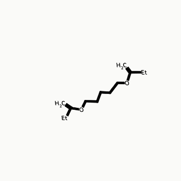 C=C(CC)OCCCCCOC(=C)CC